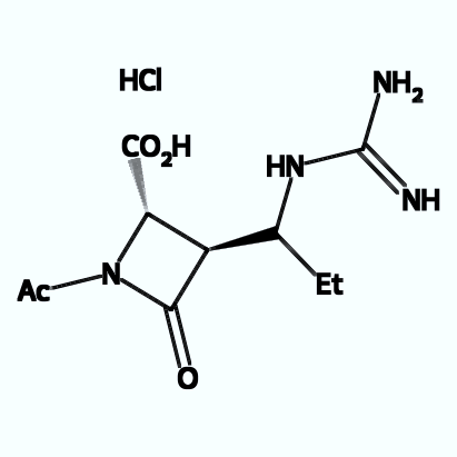 CCC(NC(=N)N)[C@H]1C(=O)N(C(C)=O)[C@@H]1C(=O)O.Cl